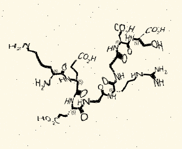 N=C(N)NCCC[C@H](NC(=O)CNC(=O)[C@H](CCC(=O)O)NC(=O)[C@H](CCC(=O)O)NC(=O)[C@@H](N)CCCCN)C(=O)NCC(=O)N[C@@H](CC(=O)O)C(=O)N[C@@H](CO)C(=O)O